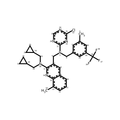 Cc1cc(CN(Cc2cc3cccc(C)c3nc2N(CC2CC2)CC2CC2)c2ncnc(Cl)n2)cc(C(F)(F)F)c1